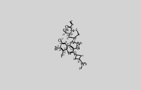 C=CC(=O)N1CC[C@H](n2nnc3c(N4CC(N(C)C)C4)nc4c(F)c(Br)c(Cl)cc4c32)C[C@H]1CC#N